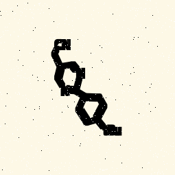 CC(C)(C)c1ccc(-c2ncc(CC#N)cn2)cc1